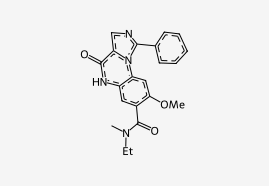 CCN(C)C(=O)c1cc2[nH]c(=O)c3cnc(-c4ccccc4)n3c2cc1OC